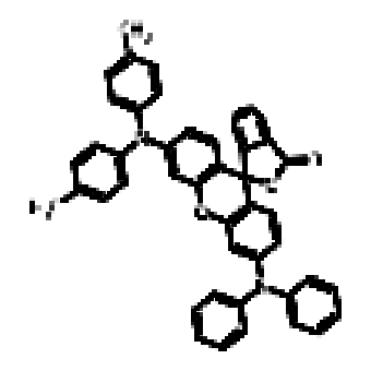 Cc1ccc(N(c2ccc(C)cc2)c2ccc3c(c2)Oc2cc(N(c4ccccc4)c4ccccc4)ccc2C32OC(=O)c3ccccc32)cc1